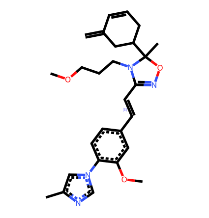 C=C1C=CCC(C2(C)ON=C(/C=C/c3ccc(-n4cnc(C)c4)c(OC)c3)N2CCCOC)C1